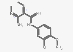 C/N=C(C(=N)Nc1ccc(ON)c(Cl)c1)\C(N)=N/C